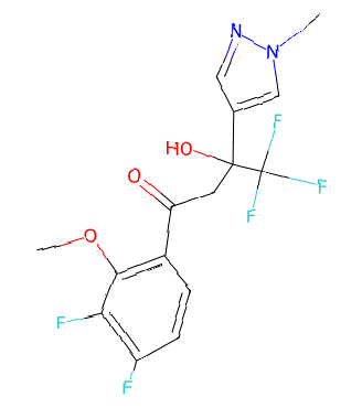 COc1c(C(=O)CC(O)(c2cnn(C)c2)C(F)(F)F)ccc(F)c1F